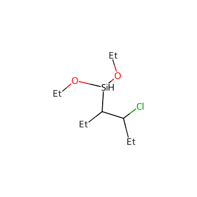 CCO[SiH](OCC)C(CC)C(Cl)CC